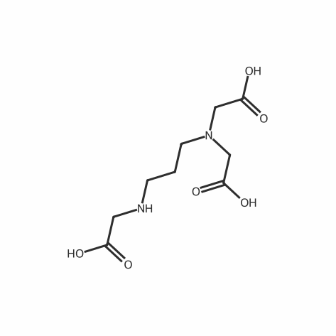 O=C(O)CNCCCN(CC(=O)O)CC(=O)O